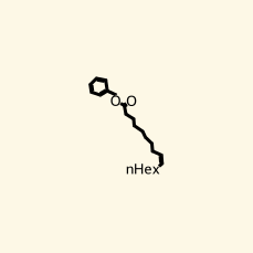 CCCCCC/C=C\CCCCCCCC(=O)OCc1ccccc1